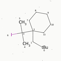 CC(C)(C)CC1(C(C)(C)I)CCCCC1